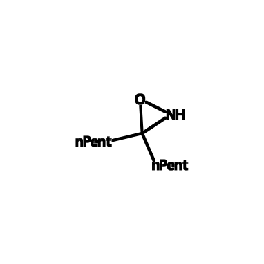 CCCCCC1(CCCCC)NO1